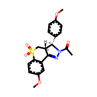 COc1ccc([C@H]2[C@H]3CS(=O)(=O)c4ccc(OC)cc4C3=NN2C(C)=O)cc1